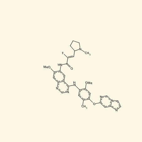 COc1cc2ncnc(Nc3cc(C)c(Oc4cc5nccn5cn4)cc3OC)c2cc1NC(=O)C(F)=CC1CCCN1C